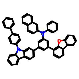 c1ccc(-c2ccc(-n3c4ccccc4c4ccc(-c5cc(-c6cccc7c6oc6ccccc67)cc(N(c6ccccc6)c6ccc7ccccc7c6)c5)cc43)cc2)cc1